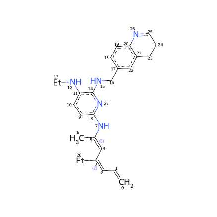 C=C/C=C(\C=C(/C)Nc1ccc(NCC)c(NCc2ccc3c(c2)CCC=N3)n1)CC